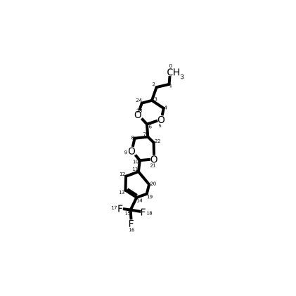 CCCC1COC(C2COC(C3CC=C(C(F)(F)F)CC3)OC2)OC1